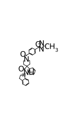 Cc1noc(-c2ccc(C(=O)N3CCC(C(=O)N[C@H]4CCc5ccccc54)(c4ccccc4)CC3)cc2)n1